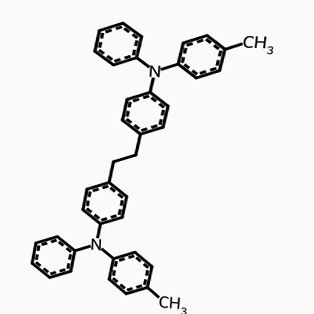 Cc1ccc(N(c2ccccc2)c2ccc(CCc3ccc(N(c4ccccc4)c4ccc(C)cc4)cc3)cc2)cc1